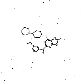 Cc1nc2c(O[C@H]3CC[C@H](N4CCOCC4)CC3)nc(Nc3cnn(C(C)C)c3)nc2s1